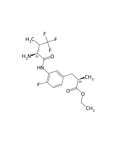 CCOC(=O)[C@H](C)Cc1ccc(F)c(NC(=O)[C@@H](N)C(C)C(F)(F)F)c1